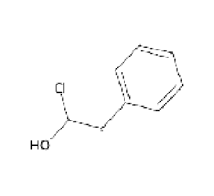 OC(Cl)[CH]c1ccccc1